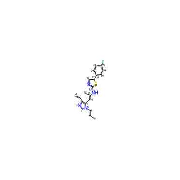 C=Cc1ncn(CCC)c1/C=C(\C)Nc1ncc(-c2ccc(F)cc2)s1